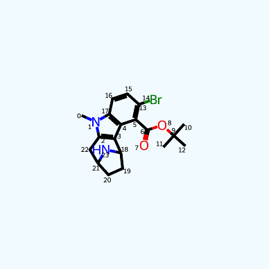 Cn1c2c(c3c(C(=O)OC(C)(C)C)c(Br)ccc31)C1CCC(C2)N1